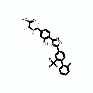 Cc1ccccc1-c1ccc(-c2nc(-c3ccc([C@@H](C)N[C@H](C)C(=O)O)cc3O)no2)cc1C(F)(F)F